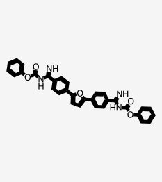 N=C(NC(=O)Oc1ccccc1)c1ccc(-c2ccc(-c3ccc(C(=N)NC(=O)Oc4ccccc4)cc3)o2)cc1